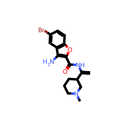 C=C(NC(=O)c1oc2ccc(Br)cc2c1N)C1CCCN(C)C1